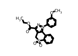 CCOC(=O)c1nn(-c2cccc(OC)c2)c2c1CS(=O)(=O)c1ccccc1-2